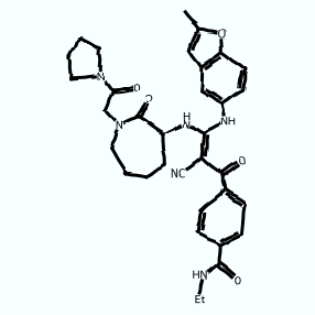 CCNC(=O)c1ccc(C(=O)/C(C#N)=C(\Nc2ccc3oc(C)cc3c2)N[C@H]2CCCCN(CC(=O)N3CCCC3)C2=O)cc1